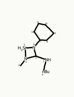 CCCCNC1N(C)[SiH2]N1C1CCCCC1